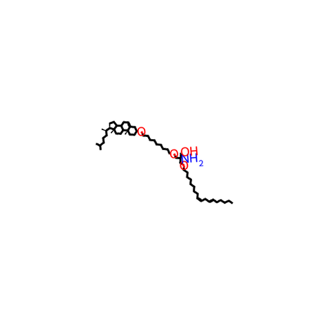 CCCCCC=CC/C=C\CCCCCCCCOCC(N)(CO)COCCCCCCCCCO[C@H]1CC[C@@]2(C)C(=CCC3C2CC[C@@]2(C)C3CC[C@@H]2[C@H](C)CCCC(C)C)C1